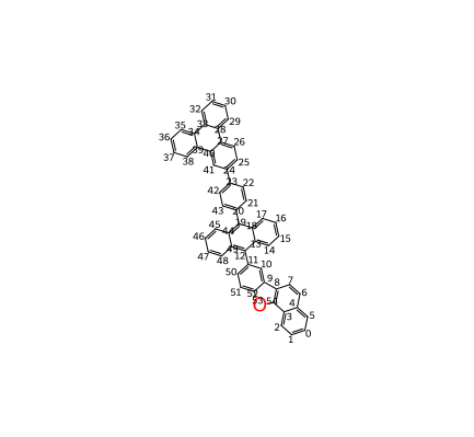 c1ccc2c(c1)ccc1c3cc(-c4c5ccccc5c(-c5ccc(-c6ccc7c8ccccc8c8ccccc8c7c6)cc5)c5ccccc45)ccc3oc21